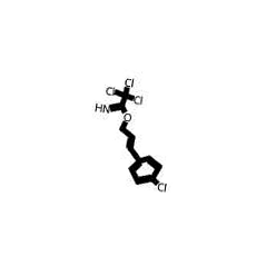 N=C(OCC=Cc1ccc(Cl)cc1)C(Cl)(Cl)Cl